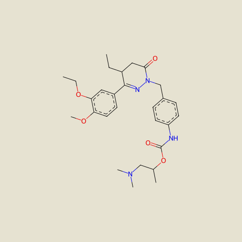 CCOc1cc(C2=NN(Cc3ccc(NC(=O)OC(C)CN(C)C)cc3)C(=O)CC2CC)ccc1OC